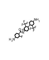 Nc1ccc(C(=O)Nc2ccc(-c3ccc(N)cc3C(F)(F)F)c(C(F)(F)F)c2)c(F)c1